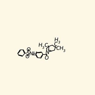 CC1(C)CC2CC(C)(CN2C(=O)c2ccc(CNS(=O)(=O)c3ccccc3)cc2)C1